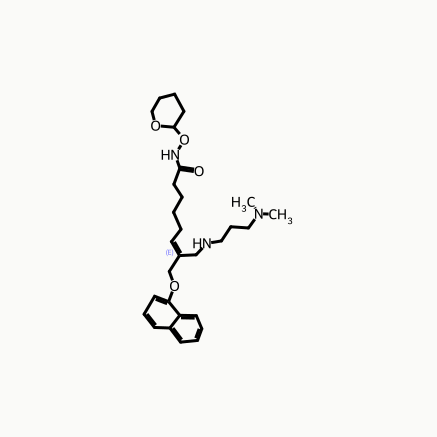 CN(C)CCCNC/C(=C\CCCCC(=O)NOC1CCCCO1)COc1cccc2ccccc12